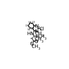 COC(=O)C[C@@H](Nc1nc(Cl)nc2ccccc12)C(C)(C)C